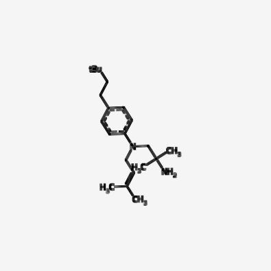 CC(C)=CCN(CC(C)(C)N)c1ccc(CCC(C)(C)C)cc1